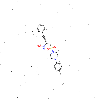 Cc1ccc(N2CCN(S(=O)(=O)CC(C#Cc3ccccc3)NO)CC2)cc1